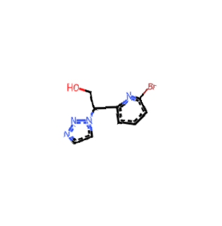 OCC(c1cccc(Br)n1)n1ccnn1